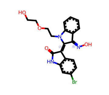 O=C1Nc2cc(Br)ccc2/C1=C1\C(=N\O)c2ccccc2N1CCOCCO